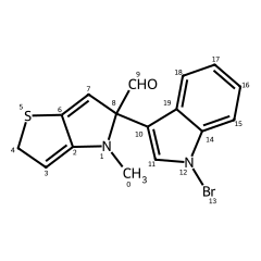 CN1C2=CCSC2=CC1(C=O)c1cn(Br)c2ccccc12